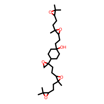 CC1(C)OC1CCC1(C)OC1CCC1(O)CCC(C2(CCC3OC3(C)CCC3OC3(C)C)CO2)CC1